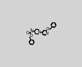 CN(C(=O)OCc1ccccc1)C1CCN(c2ccnc(OCc3ccccc3)c2)CC1